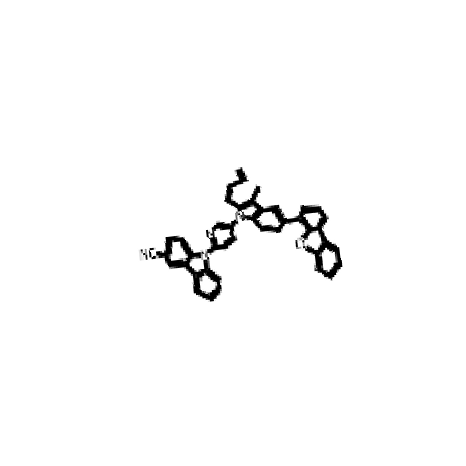 C=C/C=C\c1c(C)c2cc(-c3cccc4c3oc3ccccc34)ccc2n1-c1ccc(-n2c3ccccc3c3cc(C#N)ccc32)nc1